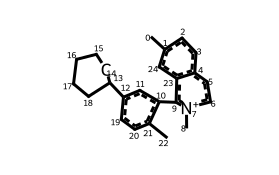 Cc1ccc2cc[n+](C)c(-c3cc(C4CCCCC4)ccc3C)c2c1